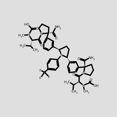 CC(C)[C@@H](C(=O)N1CCC[C@@]1(C(N)=O)c1cccc([C@H]2CC[C@H](c3cccc([C@]4(C(N)=O)CCCN4C(=O)[C@H](C(C)C)N(C)C(=O)O)c3)N2c2ccc(C(F)(F)F)cc2)c1)N(C)C(=O)O